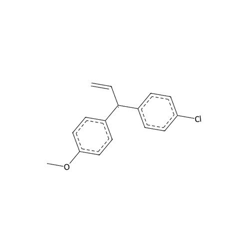 C=C[C](c1ccc(Cl)cc1)c1ccc(OC)cc1